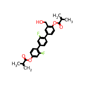 C=C(C)C(=O)Oc1ccc(-c2ccc(-c3ccc(OC(=O)C(=C)C)c(CO)c3)c(F)c2)c(F)c1